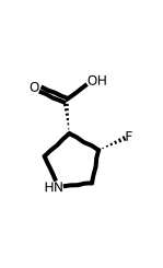 O=C(O)[C@H]1CNC[C@H]1F